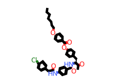 CCCCCCCOc1ccc(C(=O)Oc2ccc(C[C@H](NC(=O)c3ccc(NC(=O)Cc4ccc(Cl)cc4)cc3)C(C)=O)cc2)cc1